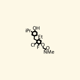 CCc1cc(OCC(=O)NC)c(F)c(Cl)c1Cc1ccc(O)c(C(C)C)c1